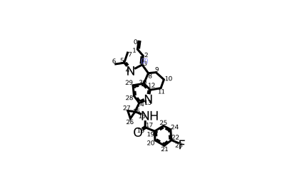 C=C/C=C(\N=C(C)C)C1CCCc2nc(C3(NC(=O)c4ccc(F)cc4)CC3)ccc21